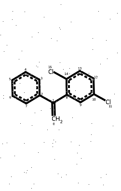 C=C(c1ccccc1)c1cc(Cl)ccc1Cl